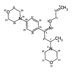 C=CCON=C(CC(C)N1CCOCC1)c1ccc(N2CCOCC2)cc1